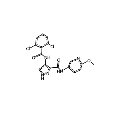 COc1ccc(NC(=O)c2n[nH]cc2NC(=O)c2c(Cl)cccc2Cl)cn1